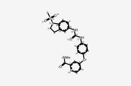 CNC(=O)c1cc(Oc2ccc(NC(=O)Nc3ccc4c(c3)CCN4S(C)(=O)=O)cc2)ccn1